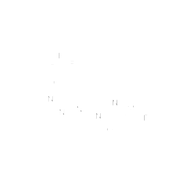 O=C(c1ncoc1-c1ccccc1F)N1CCN(c2cc(OCC(F)(F)F)ncn2)CC1